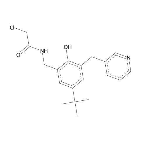 CC(C)(C)c1cc(CNC(=O)CCl)c(O)c(Cc2cccnc2)c1